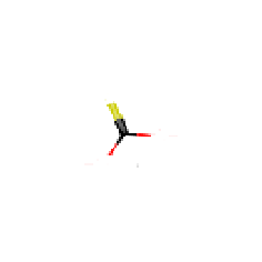 OC(O)=S.[Ni]